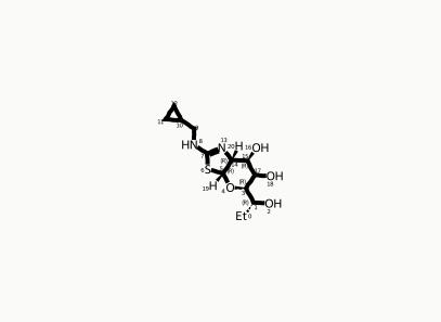 CC[C@@H](O)[C@H]1O[C@@H]2SC(NCC3CC3)=N[C@@H]2[C@@H](O)C1O